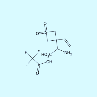 C=CC1(C(N)C(=O)O)CS(=O)(=O)C1.O=C(O)C(F)(F)F